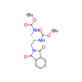 CC(C)(C)OC(=O)NC[C@@H](CN1C(=O)c2ccccc2C1=O)NC(=O)OC(C)(C)C